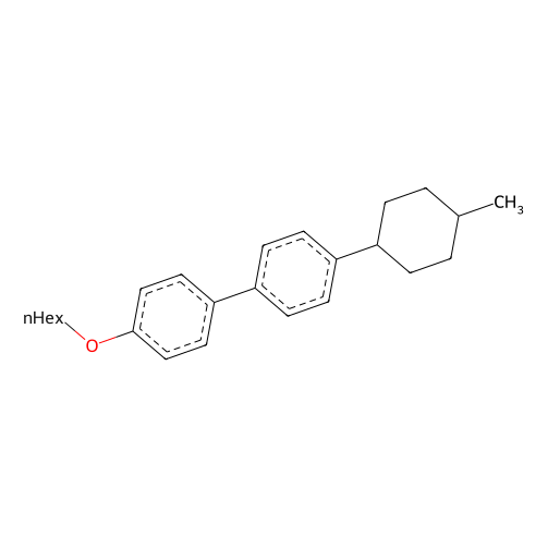 CCCCCCOc1ccc(-c2ccc(C3CCC(C)CC3)cc2)cc1